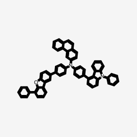 c1ccc(-c2cccc3c2oc2ccc(-c4ccc(N(c5ccc(-c6cccc7c6c6ccccc6n7-c6ccccc6)cc5)c5ccc6ccc7ccccc7c6c5)cc4)cc23)cc1